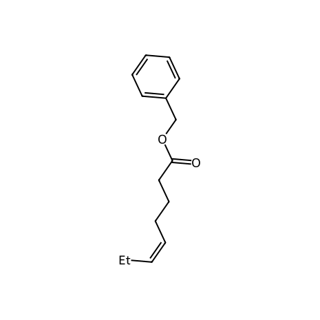 CC/C=C\CCCC(=O)OCc1ccccc1